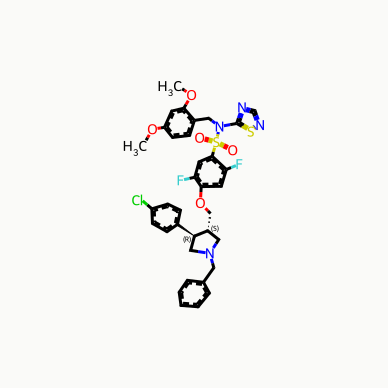 COc1ccc(CN(c2ncns2)S(=O)(=O)c2cc(F)c(OC[C@@H]3CN(Cc4ccccc4)C[C@H]3c3ccc(Cl)cc3)cc2F)c(OC)c1